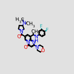 CC(Nc1ccc(F)c(F)c1)c1cc(C(=O)N2CCC(N(C)C)C2)cn2c(=O)cc(N3CCOCC3)nc12